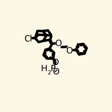 O=[PH2]Oc1cccc(C(OCCOc2ccccc2)=C2C3CC4CC2CC(Cl)(C4)C3)c1